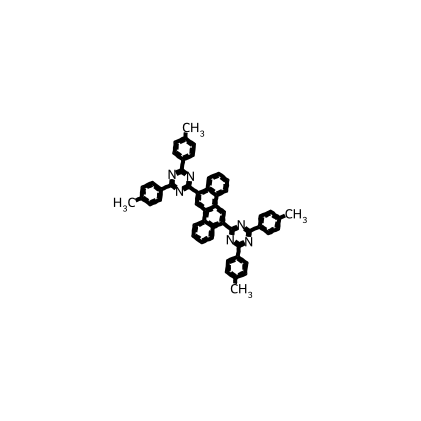 Cc1ccc(-c2nc(-c3ccc(C)cc3)nc(-c3cc4c5ccccc5c(-c5nc(-c6ccc(C)cc6)nc(-c6ccc(C)cc6)n5)cc4c4ccccc34)n2)cc1